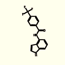 O=C(Nc1cccc2[nH]ccc12)c1ccc(C(F)(F)F)cc1